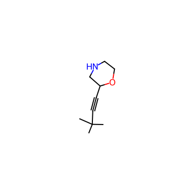 CC(C)(C)C#CC1CNCCO1